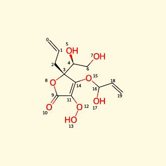 C=CC[C@]1([C@@H](O)CO)OC(=O)C(OO)=C1OC(O)C=C